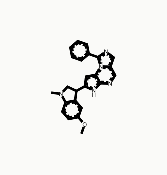 COc1ccc2c(c1)C(c1cc3c(ncc4cnc(-c5ccccc5)n43)[nH]1)CN2C